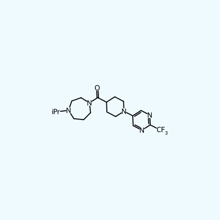 CC(C)N1CCCN(C(=O)C2CCN(c3cnc(C(F)(F)F)nc3)CC2)CC1